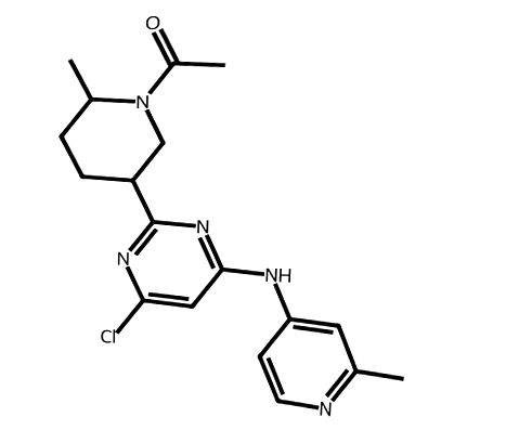 CC(=O)N1CC(c2nc(Cl)cc(Nc3ccnc(C)c3)n2)CCC1C